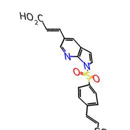 O=C(O)/C=C/c1ccc(S(=O)(=O)n2ccc3cc(/C=C/C(=O)O)cnc32)cc1